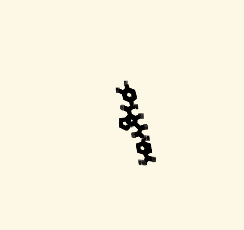 O=C(NC12CCC(C(=O)O)(CC1)C2)C(=O)c1c(Cl)c(C(=O)Nc2ccc(F)c(F)c2)c2n1CCC2